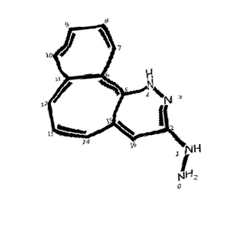 NNC1=NNC2=c3ccccc3=CC=CC2=C1